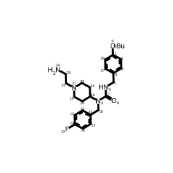 CC(C)COc1ccc(CNC(=O)N(Cc2ccc(F)cc2)C2CCN(CCN)CC2)cc1